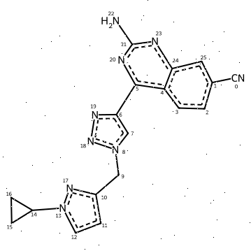 N#Cc1ccc2c(-c3cn(Cc4ccn(C5CC5)n4)nn3)nc(N)nc2c1